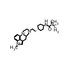 CN(C)C(=O)N[C@H]1CC[C@H](CCN2CCN3c4cccc5c4c(cn5C)CC3C2)CC1